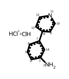 Cl.Cl.Nc1cccc(-c2ccncc2)c1